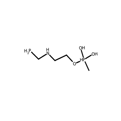 C[PH](O)(O)OCCNCP